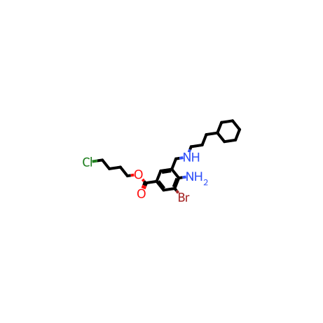 Nc1c(Br)cc(C(=O)OCCCCCl)cc1CNCCCC1CCCCC1